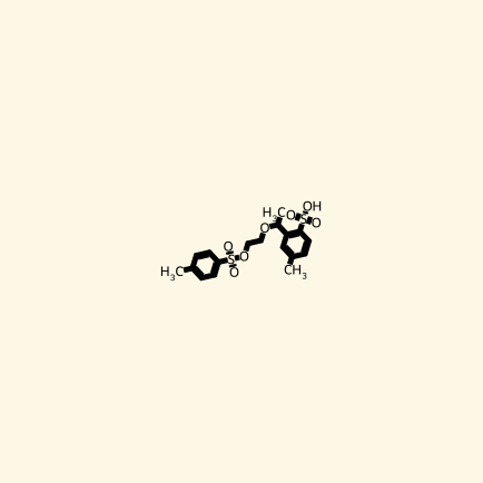 Cc1ccc(S(=O)(=O)OCCOC(C)c2cc(C)ccc2S(=O)(=O)O)cc1